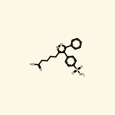 NS(=O)(=O)c1ccc(-c2c(CCCCC(=O)O)noc2-c2ccccc2)cc1